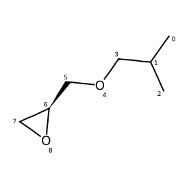 CC(C)COC[C@@H]1CO1